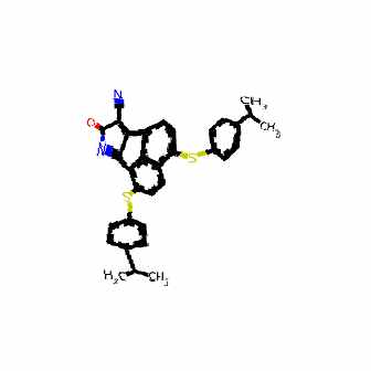 CC(C)c1ccc(Sc2ccc3c(Sc4ccc(C(C)C)cc4)ccc4c3c2C2=NC(=O)C(C#N)=C24)cc1